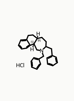 Cl.c1ccc(CC2CC[C@H]3CCc4ccccc4[C@H]3CN2Cc2ccccc2)cc1